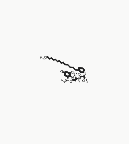 CCCCCCCCCCCCCCCc1cccc(OC(CC)C(=O)Nc2cc(=O)n(-c3c(Cl)cc(Cl)cc3OC)[nH]2)c1